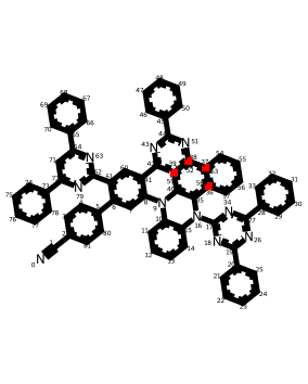 N#Cc1ccc(-c2cc(N3c4ccccc4N(c4nc(-c5ccccc5)nc(-c5ccccc5)n4)c4ccccc43)c(-c3nc(-c4ccccc4)nc(-c4ccccc4)n3)cc2-c2nc(-c3ccccc3)cc(-c3ccccc3)n2)cc1